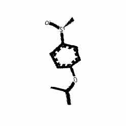 CC(C)Oc1ccc([S@+](C)[O-])cc1